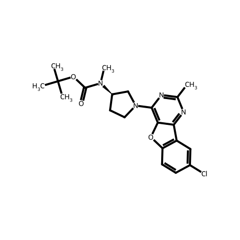 Cc1nc(N2CC[C@@H](N(C)C(=O)OC(C)(C)C)C2)c2oc3ccc(Cl)cc3c2n1